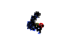 COc1cc(C)cc2cc(-c3cc(CN4CC(N5CCCC5)C4)n4ncnc(N)c34)sc12